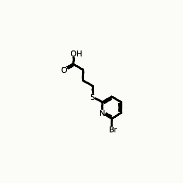 O=C(O)CCCSc1cccc(Br)n1